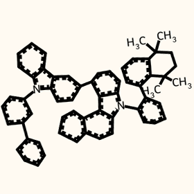 CC1(C)CCC(C)(C)c2c(-c3ccccc3-n3c4cccc(-c5ccc6c(c5)c5ccccc5n6-c5cccc(-c6ccccc6)c5)c4c4c5ccccc5ccc43)cccc21